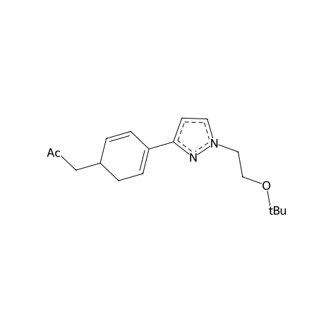 CC(=O)CC1C=CC(c2ccn(CCOC(C)(C)C)n2)=CC1